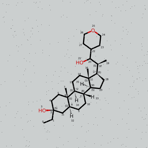 CC[C@]1(O)CC[C@@]2(C)[C@@H](CC[C@@H]3[C@@H]2CC[C@]2(C)[C@@H]([C@H](C)C(O)C4CCOCC4)CC[C@@H]32)C1